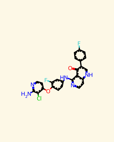 Nc1nccc(Oc2ccc(Nc3nccc4[nH]cc(-c5ccc(F)cc5)c(=O)c34)cc2F)c1Cl